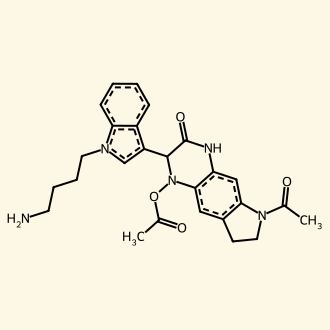 CC(=O)ON1c2cc3c(cc2NC(=O)C1c1cn(CCCCN)c2ccccc12)N(C(C)=O)CC3